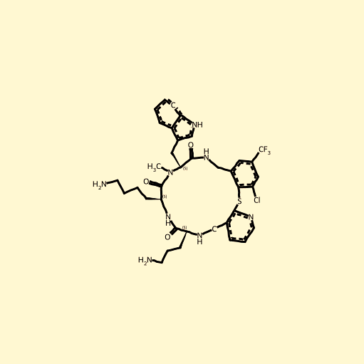 CN1C(=O)[C@H](CCCCN)NC(=O)[C@H](CCCN)NCc2cccnc2Sc2c(Cl)cc(C(F)(F)F)cc2CNC(=O)[C@@H]1Cc1c[nH]c2ccccc12